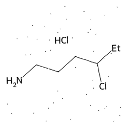 CCC(Cl)CCCN.Cl